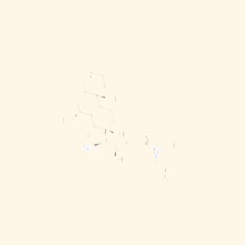 C[C@H](CCC(=O)N(C)CCS(=O)(=O)O)[C@H]1CCC2C3C(CC[C@@]21C)[C@@]1(C)CC[C@@H](O)CC1C[C@@H]3O.N